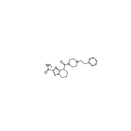 NC(=O)c1nc2c(s1)CCCC2C(=O)N1CCN(CCc2ccccc2)CC1